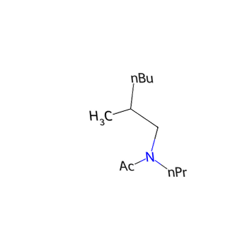 CCCCC(C)CN(CCC)C(C)=O